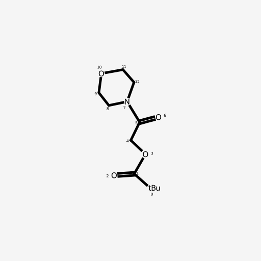 CC(C)(C)C(=O)OCC(=O)N1CCOCC1